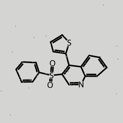 O=S(=O)(c1ccccc1)c1cnc2ccccc2c1-c1cccs1